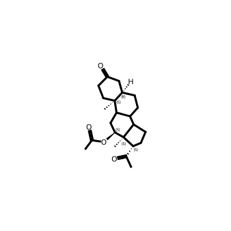 CC(=O)O[C@H]1CC2C(CC[C@@H]3CC(=O)CC[C@]23C)C2CC[C@H](C(C)=O)[C@]21C